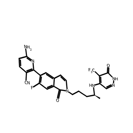 C[C@@H](CCCn1ccc2cc(-c3nc(N)ccc3C#N)c(F)cc2c1=O)Nc1cn[nH]c(=O)c1C(F)(F)F